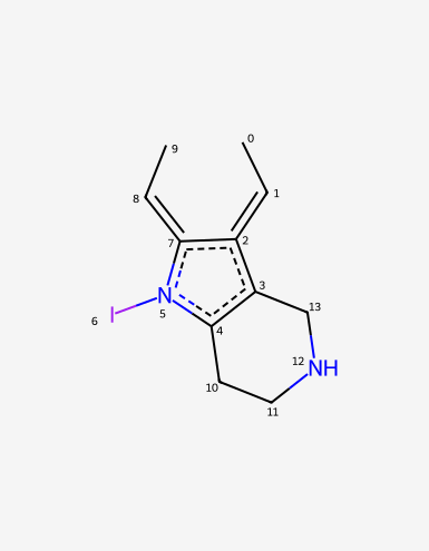 C/C=c1/c2c(n(I)/c1=C/C)CCNC2